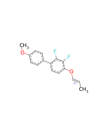 C/C=C/Oc1ccc(-c2ccc(OC)cc2)c(F)c1F